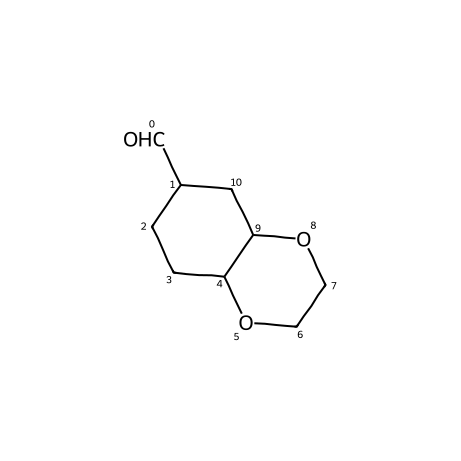 O=CC1CCC2OCCOC2C1